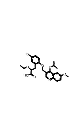 CCOC(Cc1cc(Cl)ccc1OCc1cnc2ccc(OC)cc2c1OC(C)C)C(=O)O